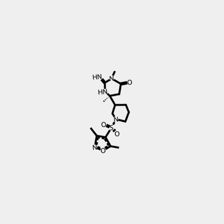 Cc1noc(C)c1S(=O)(=O)N1CCCC([C@]2(C)CC(=O)N(C)C(=N)N2)C1